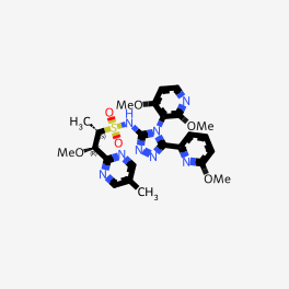 COc1cccc(-c2nnc(NS(=O)(=O)[C@@H](C)[C@H](OC)c3ncc(C)cn3)n2-c2c(OC)ccnc2OC)n1